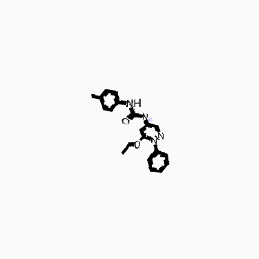 CCOc1c/c(=N\C(=O)Nc2ccc(C)cc2)cnn1-c1ccccc1